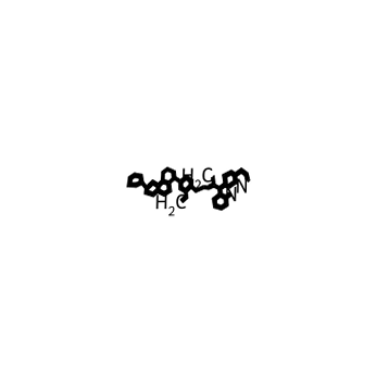 C=C/C(=C\CCc1ccc(C2=CCCc3c2ccc2ccc(-c4ccccc4)cc32)cc1C=C)c1c2ccccc2nc2c1ccc1cccnc12